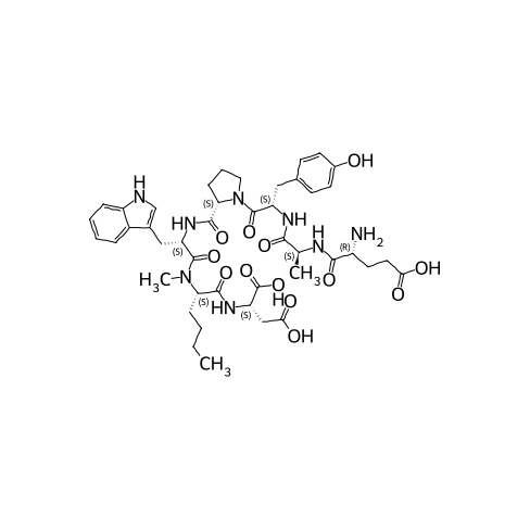 CCCC[C@@H](C(=O)N[C@@H](CC(=O)O)C(=O)O)N(C)C(=O)[C@H](Cc1c[nH]c2ccccc12)NC(=O)[C@@H]1CCCN1C(=O)[C@H](Cc1ccc(O)cc1)NC(=O)[C@H](C)NC(=O)[C@H](N)CCC(=O)O